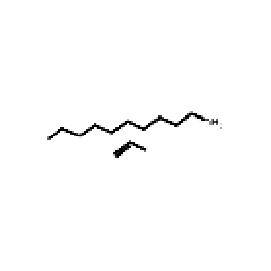 C=CC.CCCCCCCCCCN